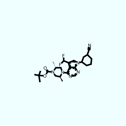 C[C@@H]1CN(c2ncnc3c2c(C(F)F)cn3C2CCCC(C#N)C2)[C@@H](C)CN1C(=O)OC(C)(C)C